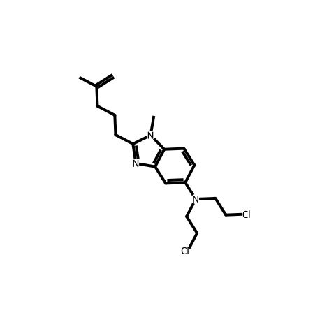 C=C(C)CCCc1nc2cc(N(CCCl)CCCl)ccc2n1C